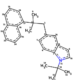 CC(C)(Cc1ccc2c(ccn2C(C)(C)C)c1)c1cccc2ccccc12